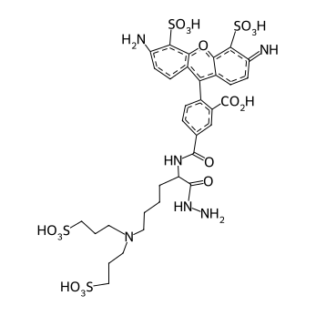 N=c1ccc2c(-c3ccc(C(=O)NC(CCCCN(CCCS(=O)(=O)O)CCCS(=O)(=O)O)C(=O)NN)cc3C(=O)O)c3ccc(N)c(S(=O)(=O)O)c3oc-2c1S(=O)(=O)O